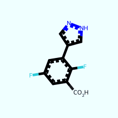 O=C(O)c1cc(F)cc(-c2cn[nH]c2)c1F